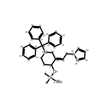 CC(C)(C)[Si](C)(C)OC1CCN(C(c2ccccc2)(c2ccccc2)c2ccccc2)C/C1=C\Cn1cccn1